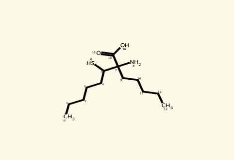 CCCCCC(S)C(N)(CCCCC)C(=O)O